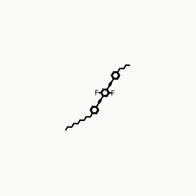 CCCCCCCCCc1ccc(C#Cc2cc(F)c(C#Cc3ccc(CCCC)cc3)cc2F)cc1